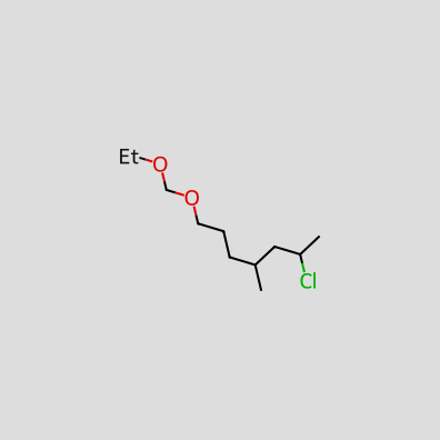 CCOCOCCCC(C)CC(C)Cl